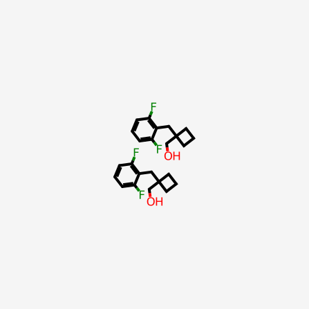 OCC1(Cc2c(F)cccc2F)CCC1.OCC1(Cc2c(F)cccc2F)CCC1